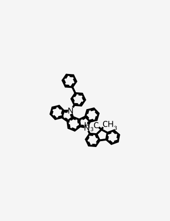 CC1(C)c2ccccc2-c2cccc(-n3c4ccccc4c4c3ccc3c5ccccc5n(-c5cccc(-c6ccccc6)c5)c34)c21